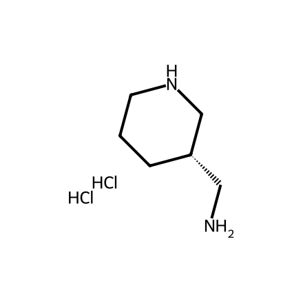 Cl.Cl.NC[C@@H]1CCCNC1